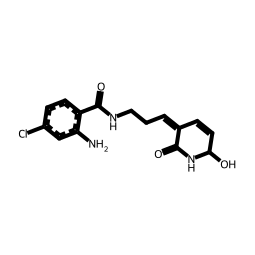 Nc1cc(Cl)ccc1C(=O)NCC/C=C1/C=CC(O)NC1=O